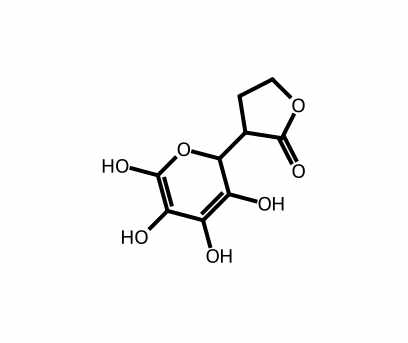 O=C1OCCC1C1OC(O)=C(O)C(O)=C1O